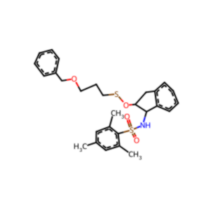 Cc1cc(C)c(S(=O)(=O)NC2c3ccccc3CC2OSCCCOCc2ccccc2)c(C)c1